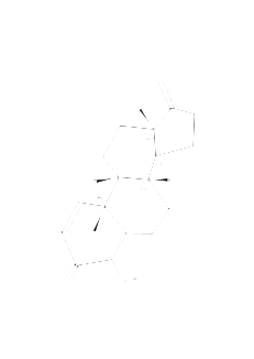 CCCCCC1C(=O)C=C[C@@]2(C)C1CC[C@@H]1[C@H]2CC[C@]2(C)C(=O)CC[C@@H]12